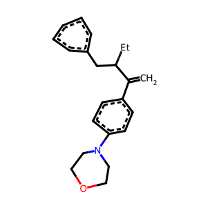 C=C(c1ccc(N2CCOCC2)cc1)C(CC)Cc1ccccc1